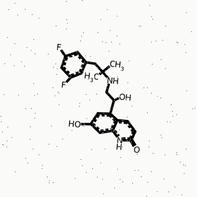 CC(C)(Cc1cc(F)cc(F)c1)NCC(O)c1cc(O)cc2[nH]c(=O)ccc12